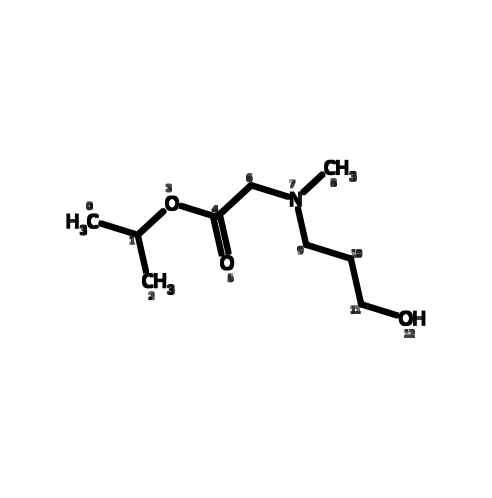 CC(C)OC(=O)CN(C)CCCO